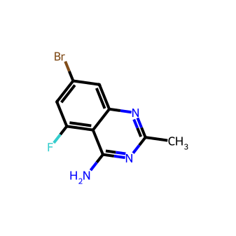 Cc1nc(N)c2c(F)cc(Br)cc2n1